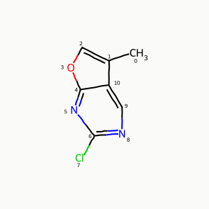 Cc1coc2nc(Cl)ncc12